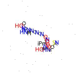 Cc1ncsc1-c1ccc([C@H](C)NC(=O)[C@@H]2C[C@@H](O)CN2C(=O)[C@@H](c2cc(OCCN3CCC(N4CCC(N5CCN6c7cc(-c8ccccc8O)nnc7NC[C@H]6C5)CC4)CC3)no2)C(C)C)cc1